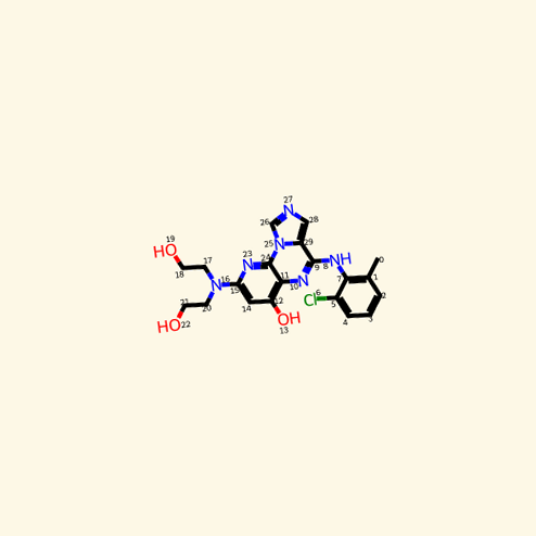 Cc1cccc(Cl)c1Nc1nc2c(O)cc(N(CCO)CCO)nc2n2cncc12